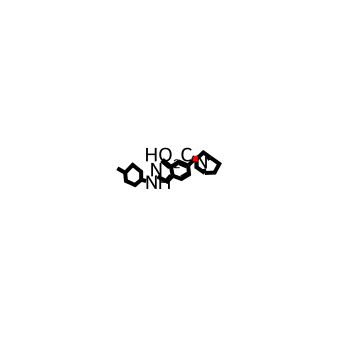 CC1CCC(Nc2cc3ccc(CN4C5CCC4CC(C(=O)O)C5)cc3cn2)CC1